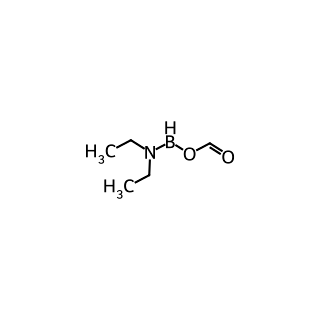 CCN(BOC=O)CC